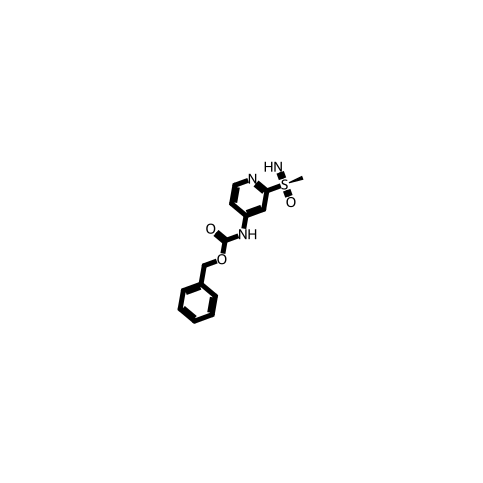 C[S@@](=N)(=O)c1cc(NC(=O)OCc2ccccc2)ccn1